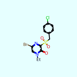 CCn1cc(Br)nc(S(=O)(=O)Cc2ccc(Cl)cc2)c1=O